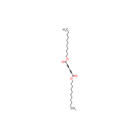 CCCCCCCCCCCOC(=O)C#CC#CC(=O)OCCCCCCCCCCC